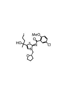 COc1ccc(Cl)cc1C(=O)/N=c1\sc(C(C)(O)CCI)cn1C[C@H]1CCCO1